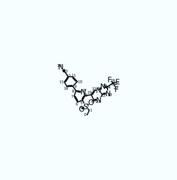 CCS(=O)(=O)c1ccc(-c2ccc(C#N)cc2)nc1-c1cnc2nc(C(F)(F)F)nn2c1